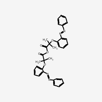 CC(C)(Oc1ccccc1N=Nc1ccccc1)C(=O)OC(=O)C(C)(C)Oc1ccccc1N=Nc1ccccc1